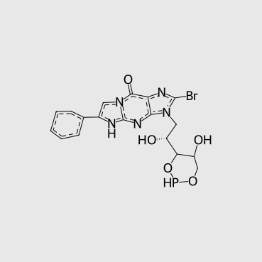 O=c1c2nc(Br)n(C[C@@H](O)C3OPOCC3O)c2nc2[nH]c(-c3ccccc3)cn12